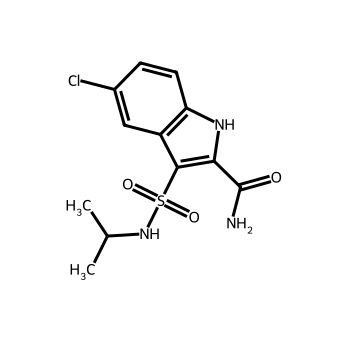 CC(C)NS(=O)(=O)c1c(C(N)=O)[nH]c2ccc(Cl)cc12